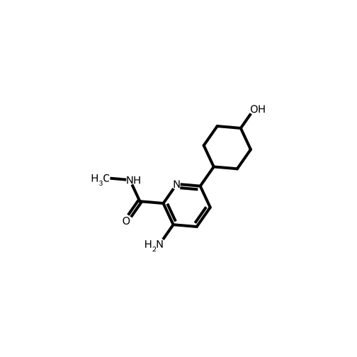 CNC(=O)c1nc(C2CCC(O)CC2)ccc1N